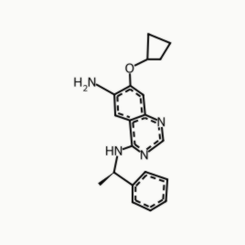 C[C@@H](Nc1ncnc2cc(OC3CCC3)c(N)cc12)c1ccccc1